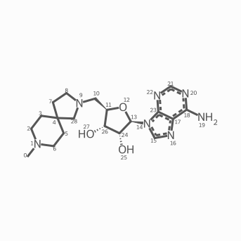 CN1CCC2(CC1)CCN(C[C@H]1O[C@@H](n3cnc4c(N)ncnc43)[C@H](O)[C@@H]1O)C2